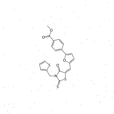 COC(=O)c1ccc(-c2ccc(C=C3SC(=S)N(Cc4cccs4)C3=O)o2)cc1